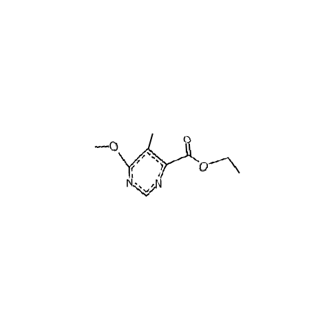 CCOC(=O)c1ncnc(OC)c1C